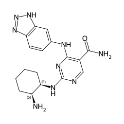 NC(=O)c1cnc(N[C@@H]2CCCC[C@@H]2N)nc1Nc1ccc2nn[nH]c2c1